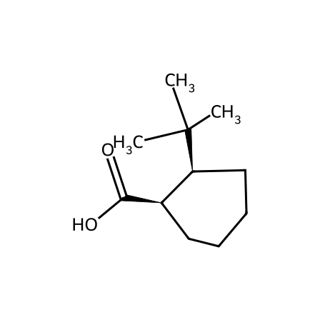 CC(C)(C)[C@H]1CCCC[C@H]1C(=O)O